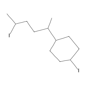 CC(I)CCC(C)C1CCC(I)CC1